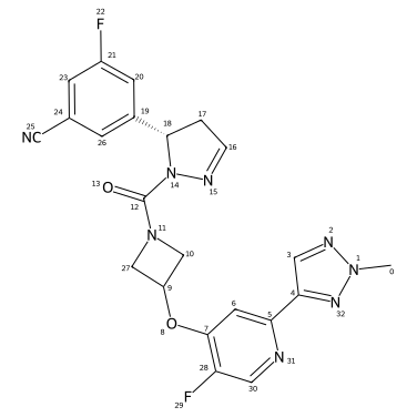 Cn1ncc(-c2cc(OC3CN(C(=O)N4N=CC[C@H]4c4cc(F)cc(C#N)c4)C3)c(F)cn2)n1